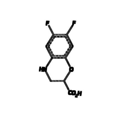 O=C(O)C1CNc2cc(F)c(F)cc2O1